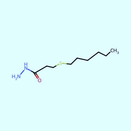 CCCCCCSCCC(=O)NN